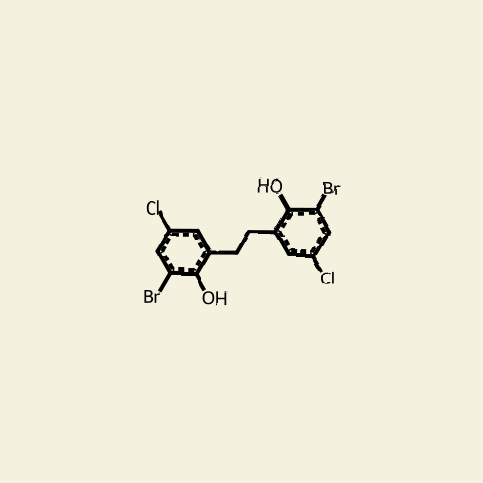 Oc1c(Br)cc(Cl)cc1CCc1cc(Cl)cc(Br)c1O